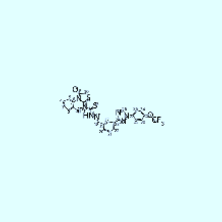 CC(C)c1ccccc1N1C(=O)CS/C1=N\C(=S)N/N=C/c1cccc(-c2ncn(-c3ccc(OC(F)(F)F)cc3)n2)c1